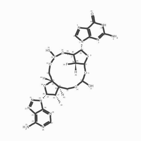 Nc1nc2c(ncn2[C@@H]2SC3OC(O)OC[C@H]4[C@H](F)[C@H](n5nnc6c(N)ncnc65)O[C@@H]4COP(S)O[C@@H]2[C@H]3F)c(=O)[nH]1